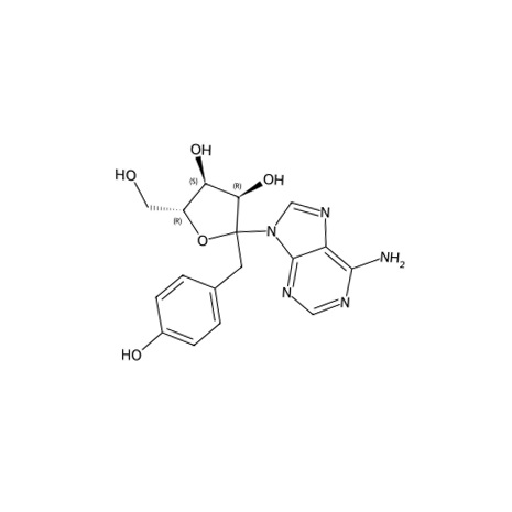 Nc1ncnc2c1ncn2C1(Cc2ccc(O)cc2)O[C@H](CO)[C@@H](O)[C@H]1O